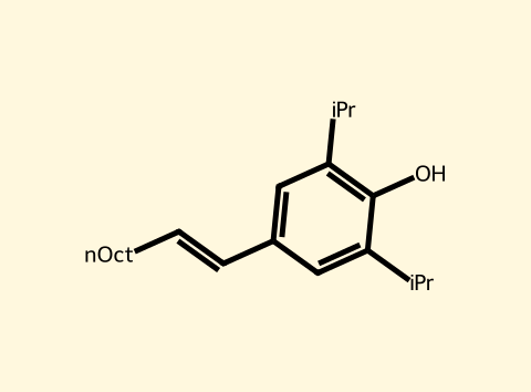 CCCCCCCCC=Cc1cc(C(C)C)c(O)c(C(C)C)c1